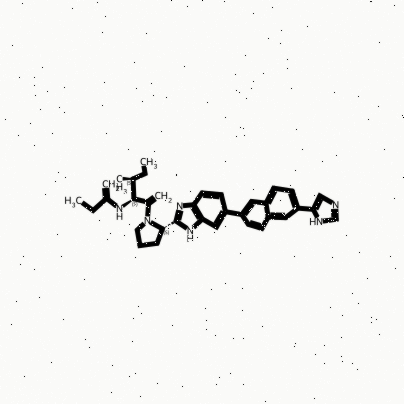 C=C(CC)N[C@H](C(=C)N1CCC[C@H]1c1nc2ccc(-c3ccc4cc(-c5cnc[nH]5)ccc4c3)cc2[nH]1)[C@@H](C)CC